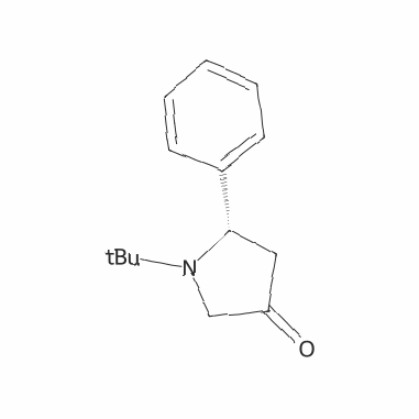 CC(C)(C)N1CC(=O)C[C@H]1c1ccccc1